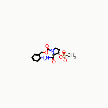 CS(=O)(=O)O[C@H]1CCN(C(=O)OCc2ccccc2)[C@@H]1C(N)=O